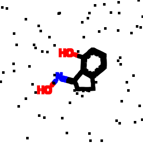 O/N=C1\CCc2cccc(O)c21